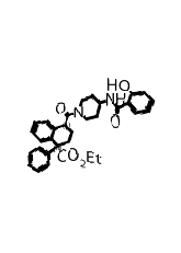 CCOC(=O)[C@@]1(c2ccccc2)CC[C@H](C(=O)N2CCC(NC(=O)c3ccccc3O)CC2)c2ccccc21